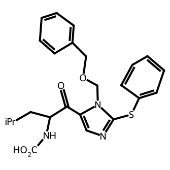 CC(C)CC(NC(=O)O)C(=O)c1cnc(Sc2ccccc2)n1COCc1ccccc1